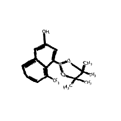 CC1(C)OB(c2cc(O)cc3cccc(C(F)(F)F)c23)OC1(C)C